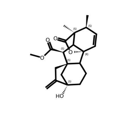 C=C1C[C@]23C[C@@]1(O)CCC2[C@@]12C=C[C@H](C)[C@](C)(C(=O)O1)C2[C@@H]3C(=O)OC